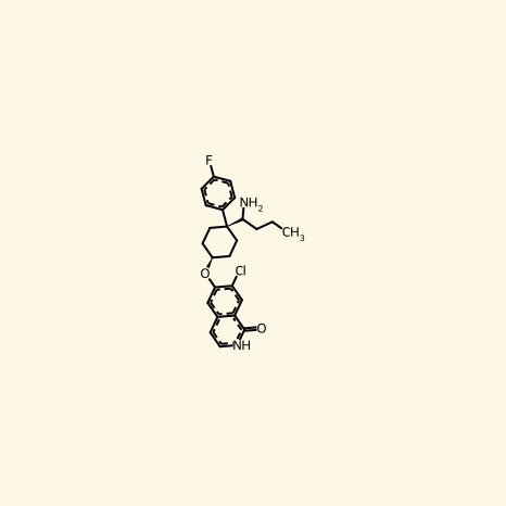 CCCC(N)[C@]1(c2ccc(F)cc2)CC[C@H](Oc2cc3cc[nH]c(=O)c3cc2Cl)CC1